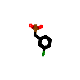 O=[SH](=O)Cc1cccc(F)c1